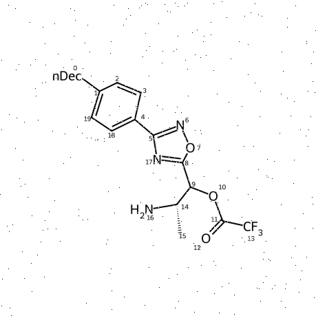 CCCCCCCCCCc1ccc(-c2noc(C(OC(=O)C(F)(F)F)[C@H](C)N)n2)cc1